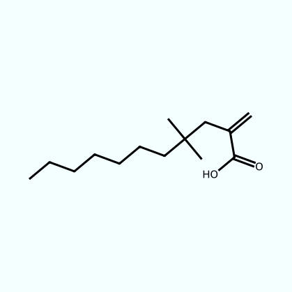 C=C(CC(C)(C)CCCCCCC)C(=O)O